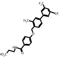 Cc1cc(-c2cc(C(F)(F)F)cc(C(F)(F)F)c2)ccc1COc1ccc(C(=O)NCCC(=O)O)cc1